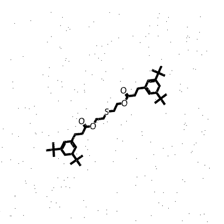 CC(C)(C)C1=CC(CCC(=O)OCCSCCOC(=O)CCC2=CC(C(C)(C)C)CC(C(C)(C)C)=C2)=CC(C(C)(C)C)C1